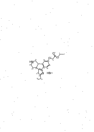 Br.CCOC(=O)COc1ccc(N2N=C(CC)SC2C2CCNCC2)cc1